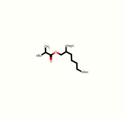 CCCCCCCCCCCCCCC(CCCCCCC)COC(=O)C(C)CCCC